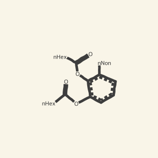 CCCCCCCCCc1cccc(OC(=O)CCCCCC)c1OC(=O)CCCCCC